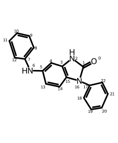 O=c1[nH]c2cc(Nc3ccccc3)ccc2n1-c1ccccc1